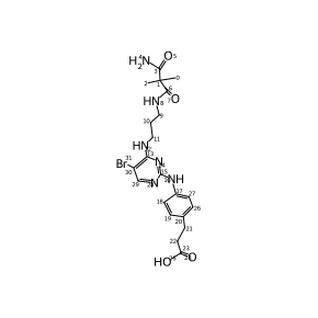 CC(C)(C(N)=O)C(=O)NCCCNc1nc(Nc2ccc(CCC(=O)O)cc2)ncc1Br